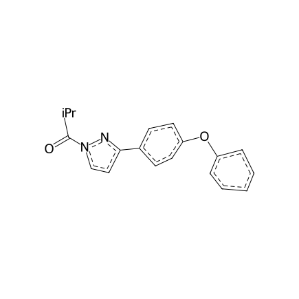 CC(C)C(=O)n1ccc(-c2ccc(Oc3ccccc3)cc2)n1